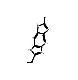 CCc1nc2nc3nc(C)oc3cc2o1